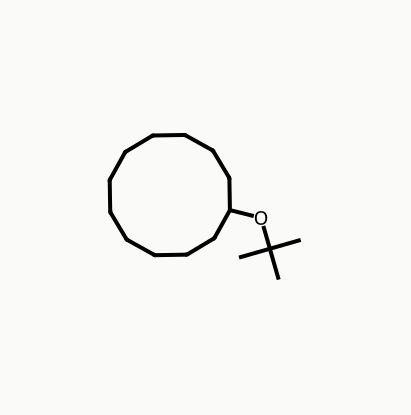 CC(C)(C)OC1CCCCCCCCCCC1